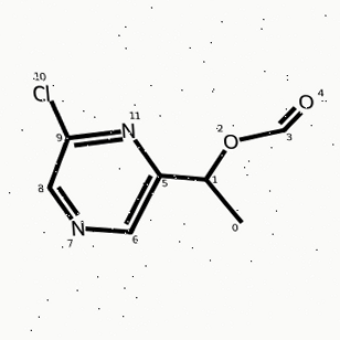 CC(OC=O)c1cncc(Cl)n1